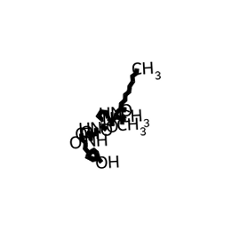 CCCCCCCCCC(=O)NC(C(=O)N1CCC[C@H]1C(=O)NCC(=O)NC(Cc1ccc(O)cc1)C(=O)O)C(C)C